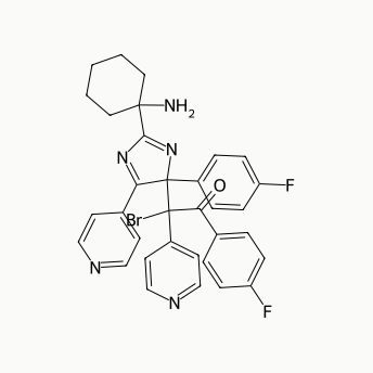 NC1(C2=NC(c3ccc(F)cc3)(C(Br)(C(=O)c3ccc(F)cc3)c3ccncc3)C(c3ccncc3)=N2)CCCCC1